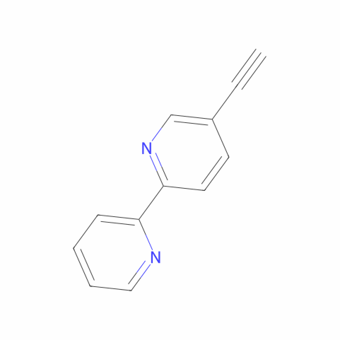 C#Cc1ccc(-c2ccccn2)nc1